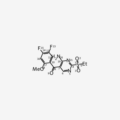 CCS(=O)(=O)c1ncc(C(=O)c2cc(F)c(F)cc2OC)c(N)n1